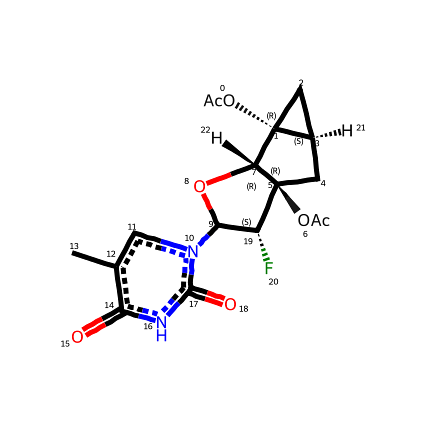 CC(=O)O[C@]12C[C@H]1C[C@@]1(OC(C)=O)[C@@H]2OC(n2cc(C)c(=O)[nH]c2=O)[C@H]1F